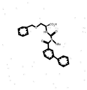 CCCCN(C(=O)N[C@@H](CSCc1ccccc1)C(=O)O)C(=O)c1cccc(-c2ccccc2)c1